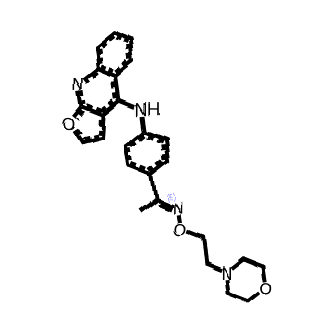 C/C(=N\OCCN1CCOCC1)c1ccc(Nc2c3ccccc3nc3occc23)cc1